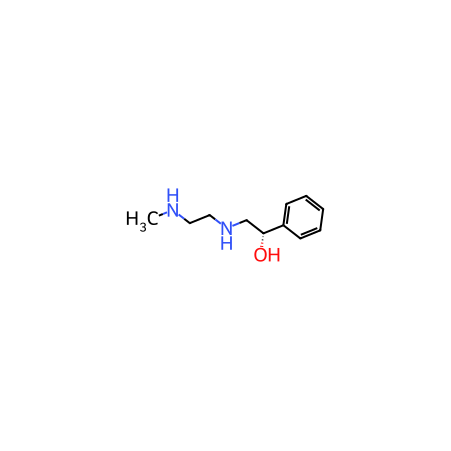 CNCCNC[C@@H](O)c1ccccc1